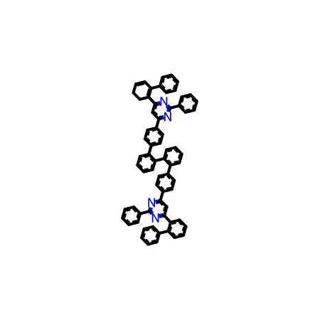 C1=CC(c2ccccc2)=C(c2cc(-c3ccc(-c4ccccc4-c4ccccc4-c4ccc(-c5cc(-c6ccccc6-c6ccccc6)nc(-c6ccccc6)n5)cc4)cc3)nc(-c3ccccc3)n2)CC1